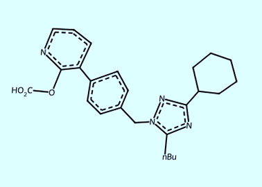 CCCCc1nc(C2CCCCC2)nn1Cc1ccc(-c2cccnc2OC(=O)O)cc1